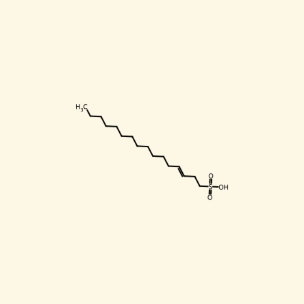 CCCCCCCCCCCC/C=C/CCS(=O)(=O)O